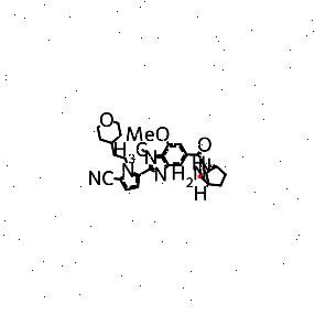 COc1cc(C(=O)N2C[C@H]3CCC2[C@@H]3N)cc2nc(-c3ccc(C#N)n3CCC3CCOCC3)n(C)c12